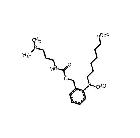 CCCCCCCCCCCCCCCCN(C=O)c1ccccc1COC(=O)NCCCN(C)C